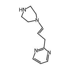 C(=CN1CCNCC1)Cc1ncccn1